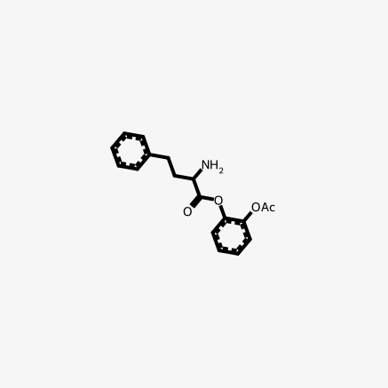 CC(=O)Oc1ccccc1OC(=O)C(N)CCc1ccccc1